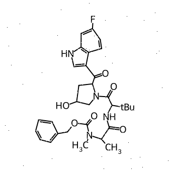 CC(C(=O)NC(C(=O)N1CC(O)CC1C(=O)c1c[nH]c2cc(F)ccc12)C(C)(C)C)N(C)C(=O)OCc1ccccc1